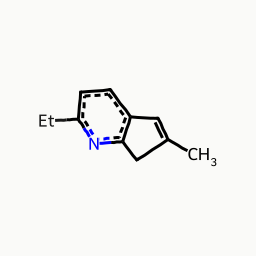 CCc1ccc2c(n1)CC(C)=C2